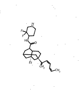 C=C(/C=C\C=C/C)[C@]12CCC3C(C(=O)NC4CCNCC4(F)F)CC(C1)C[C@]3(CC)C2